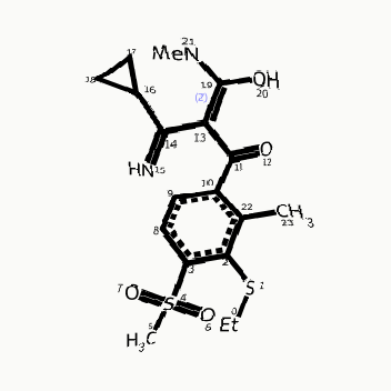 CCSc1c(S(C)(=O)=O)ccc(C(=O)/C(C(=N)C2CC2)=C(\O)NC)c1C